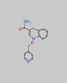 NC(=O)C1=CN(OCc2ccncc2)c2ccccc2C1